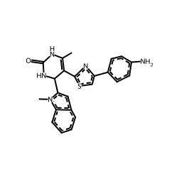 CC1=C(c2nc(-c3ccc(N)cc3)cs2)C(c2cc3ccccc3n2C)NC(=O)N1